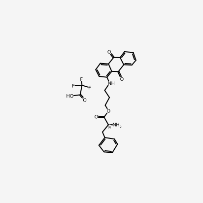 N[C@@H](Cc1ccccc1)C(=O)OCCCNc1cccc2c1C(=O)c1ccccc1C2=O.O=C(O)C(F)(F)F